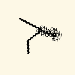 CCCCCCCC/C=C\CCCCCCCC(=O)N[C@@H](CO[C@@H]1O[C@H](CO)[C@@H](O[C@@H]2O[C@H](CO)[C@H](O)[C@H](O)[C@H]2O)[C@H](O)[C@H]1O)[C@H](O)/C=C/CCCCCCCCCCCCC